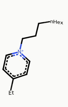 CCCCCCCCC[n+]1ccc(CC)cc1